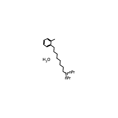 CCCN(CCC)CCCCCCCCc1ccccc1C.O